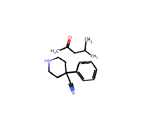 CC(=O)CC(C)C.N#CC1(c2ccccc2)CCNCC1